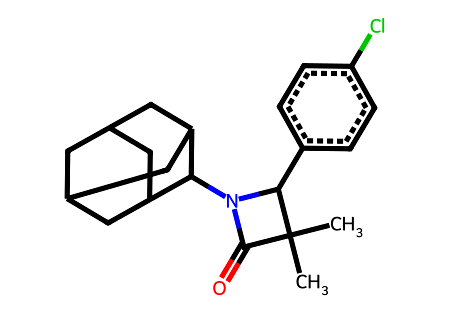 CC1(C)C(=O)N(C2C3CC4CC(C3)CC2C4)C1c1ccc(Cl)cc1